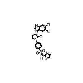 O=C1[C@@H](n2cnc3cc(Cl)c(Cl)cc32)CCN1c1ccc(S(=O)(=O)Nc2nccs2)cc1